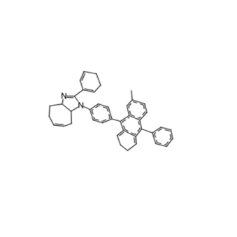 Cc1ccc2c(-c3ccccc3)c3c(c(-c4ccc(N5C(C6=CCCC=C6)=NC6CCC=CCC65)cc4)c2c1)=CCCC=3